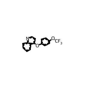 FC(F)(F)Oc1ccc(Oc2ccnc3ccccc23)cc1